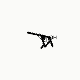 CCCCCCCCCCCCOCC(CN(CCCl)CCCCCC(O)OCC(CCCCCC)CCCCCCCC)OCCCCCCCCCCCC